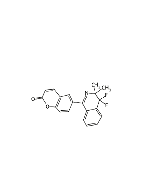 CC1(C)N=C(c2ccc3oc(=O)ccc3c2)c2ccccc2C1(F)F